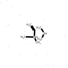 C=C[SiH](C)C.[CH3][Sn][CH3]